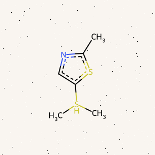 Cc1ncc([SH](C)C)s1